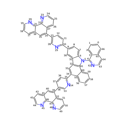 c1ccc2c(-n3c4ccc(-c5ccc(-c6cc7cccnc7c7ncccc67)cn5)cc4c4cc(-c5ccc(-c6cc7cccnc7c7ncccc67)cn5)c5ccccc5c43)nccc2c1